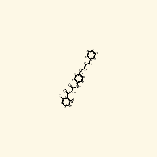 O=C(NC(=O)c1c(F)cccc1F)Nc1ccc(OCCCc2ccccc2)cc1